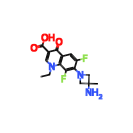 CCn1cc(C(=O)O)c(=O)c2cc(F)c(N3CC(C)(N)C3)c(F)c21